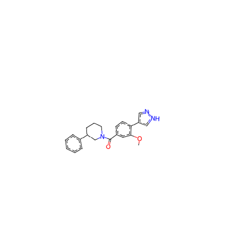 COc1cc(C(=O)N2CCCC(c3ccccc3)C2)ccc1-c1cn[nH]c1